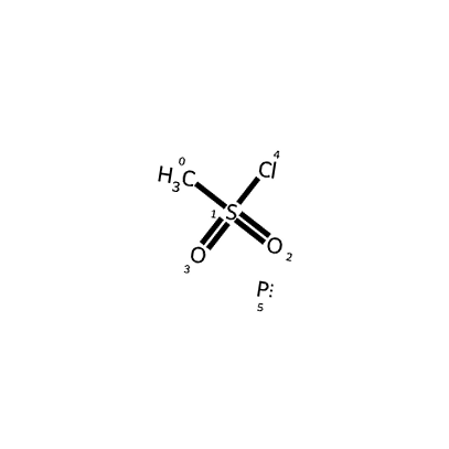 CS(=O)(=O)Cl.[P]